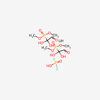 COP(=O)(OC)C(O)(O)C=O.COP(=O)(OC)C(O)(O)C=O.O=P(O)(F)F.[LiH]